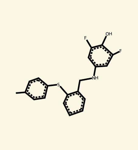 Cc1ccc(Sc2ccccc2CNc2cc(F)c(O)c(F)c2)cc1